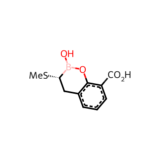 CS[C@H]1Cc2cccc(C(=O)O)c2OB1O